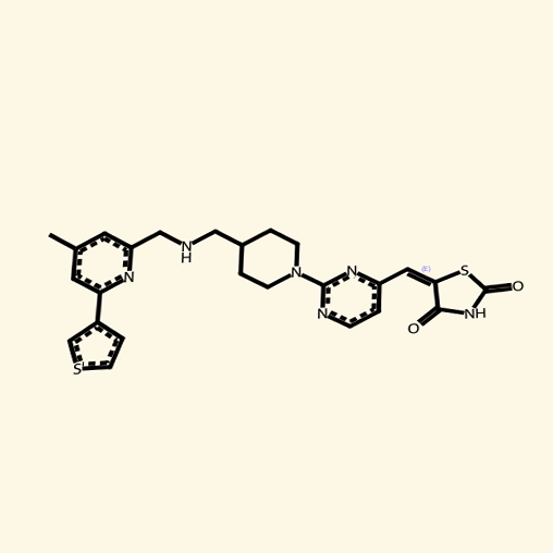 Cc1cc(CNCC2CCN(c3nccc(/C=C4/SC(=O)NC4=O)n3)CC2)nc(-c2ccsc2)c1